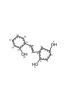 Oc1ccc(O)c(C=Nc2ccccc2O)c1